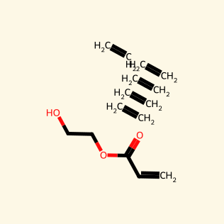 C=C.C=C.C=C.C=C.C=C.C=CC(=O)OCCO